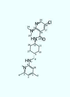 Cc1cc(C)nc(NC[C@H]2CC[C@H](NC(=O)c3cc(Cl)cnc3N(C)C)CC2)c1